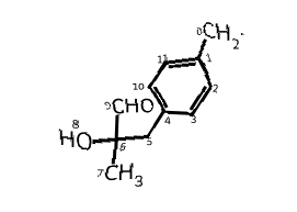 [CH2]c1ccc(CC(C)(O)C=O)cc1